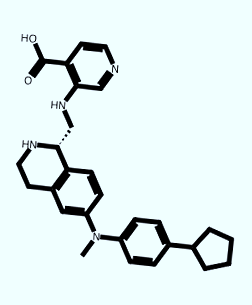 CN(c1ccc(C2CCCC2)cc1)c1ccc2c(c1)CCN[C@@H]2CNc1cnccc1C(=O)O